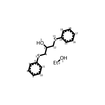 CCO.OC(CSc1ccccc1)CSc1ccccc1